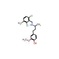 COc1cc(CCC(C)NCc2c(Cl)ccc(C)c2Cl)ccc1O